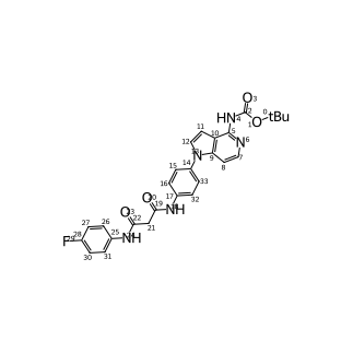 CC(C)(C)OC(=O)Nc1nccc2c1ccn2-c1ccc(NC(=O)CC(=O)Nc2ccc(F)cc2)cc1